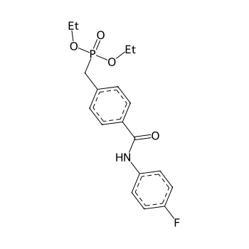 CCOP(=O)(Cc1ccc(C(=O)Nc2ccc(F)cc2)cc1)OCC